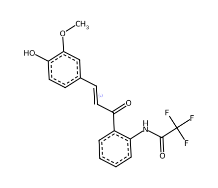 COc1cc(/C=C/C(=O)c2ccccc2NC(=O)C(F)(F)F)ccc1O